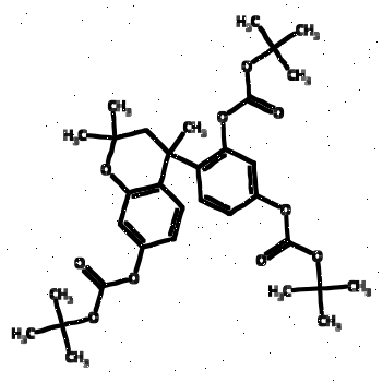 CC(C)(C)OC(=O)Oc1ccc(C2(C)CC(C)(C)Oc3cc(OC(=O)OC(C)(C)C)ccc32)c(OC(=O)OC(C)(C)C)c1